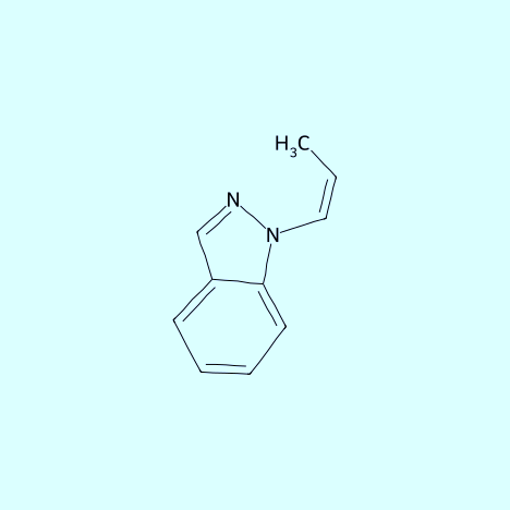 C/C=C\n1ncc2ccccc21